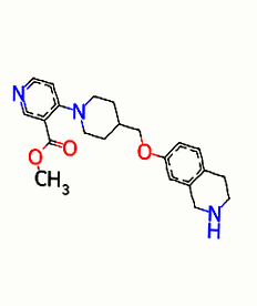 COC(=O)c1cnccc1N1CCC(COc2ccc3c(c2)CNCC3)CC1